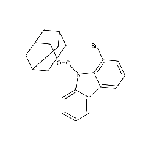 C1C2CC3CC1CC(C2)C3.O=Cn1c2ccccc2c2cccc(Br)c21